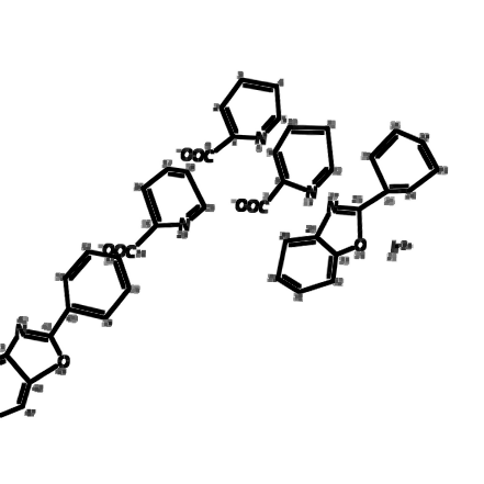 O=C([O-])c1ccccn1.O=C([O-])c1ccccn1.O=C([O-])c1ccccn1.[Ir+3].c1ccc(-c2nc3ccccc3o2)cc1.c1ccc(-c2nc3ccccc3o2)cc1